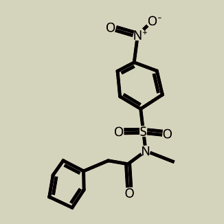 CN(C(=O)Cc1ccccc1)S(=O)(=O)c1ccc([N+](=O)[O-])cc1